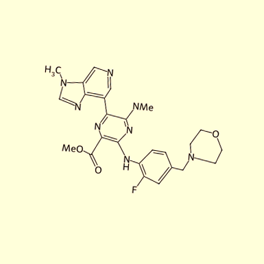 CNc1nc(Nc2ccc(CN3CCOCC3)cc2F)c(C(=O)OC)nc1-c1cncc2c1ncn2C